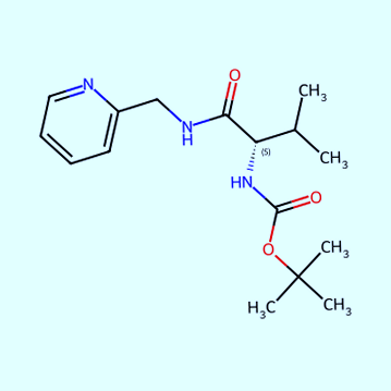 CC(C)[C@H](NC(=O)OC(C)(C)C)C(=O)NCc1ccccn1